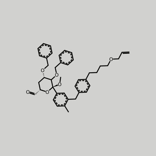 C=CCOCCCCc1ccc(Cc2cc([C@]3(OC)O[C@H](C=O)C[C@H](OCc4ccccc4)C3OCc3ccccc3)ccc2C)cc1